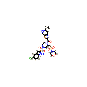 CC1Cc2nc(C(=O)N3CCN(S(=O)(=O)c4cc5cc(Cl)ccc5[nH]4)CC3CS(=O)(=O)N3CCOCC3)sc2CN1